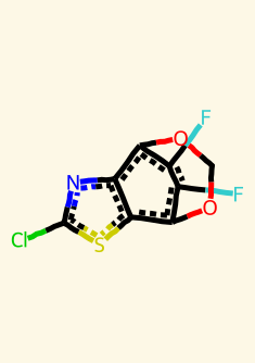 Fc1c(F)c2c3sc(Cl)nc3c1OCO2